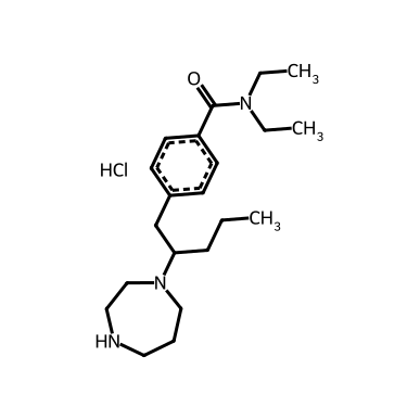 CCCC(Cc1ccc(C(=O)N(CC)CC)cc1)N1CCCNCC1.Cl